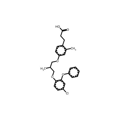 Cc1cc(OCC(C)COc2ccc(Cl)cc2Oc2ccccc2)ccc1CCC(=O)O